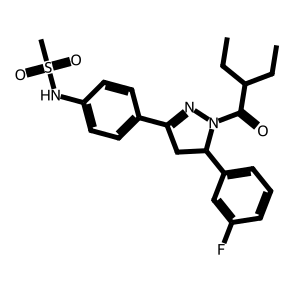 CCC(CC)C(=O)N1N=C(c2ccc(NS(C)(=O)=O)cc2)CC1c1cccc(F)c1